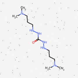 CN(C)CCCNNC(=O)NNCCCN(C)C